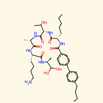 CCCCC[C@H](NC(=O)c1ccc(-c2ccc(CCCC)cc2)cc1)C(=O)N[C@H](C(=O)N[C@@H](C)C(=O)N[C@@H](CCCCN)C(=O)N[C@@H](C)C(O)O)C(C)O